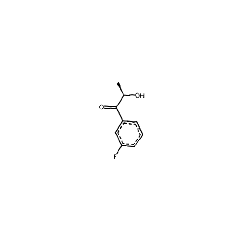 C[C@@H](O)C(=O)c1cccc(F)c1